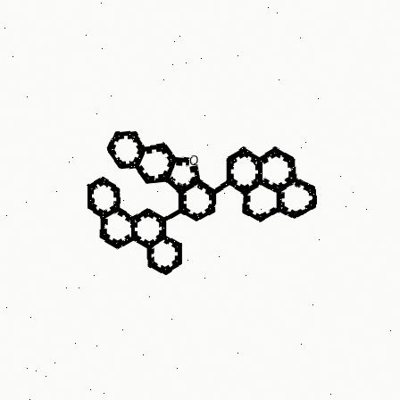 c1ccc2cc3c(cc2c1)oc1c(-c2ccc4ccc5cccc6ccc2c4c56)ccc(-c2cc4c5ccccc5ccc4c4ccccc24)c13